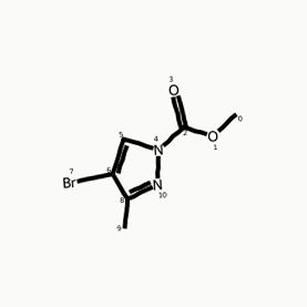 COC(=O)n1cc(Br)c(C)n1